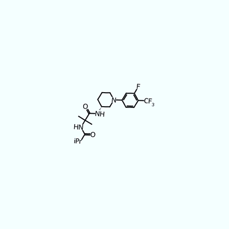 CC(C)C(=O)NC(C)(C)C(=O)N[C@@H]1CCCN(c2ccc(C(F)(F)F)c(F)c2)C1